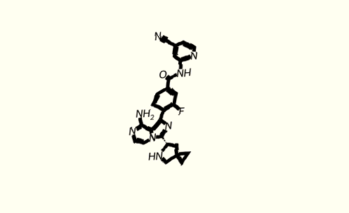 N#Cc1ccnc(NC(=O)c2ccc(-c3nc([C@@H]4CC5(CC5)CN4)n4ccnc(N)c34)c(F)c2)c1